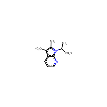 CCOC(=O)C(C)n1c(C)c(C(=O)O)c2cccnc21